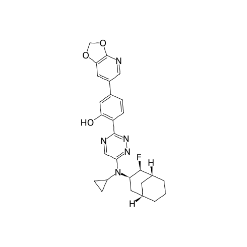 Oc1cc(-c2cnc3c(c2)OCO3)ccc1-c1ncc(N(C2CC2)[C@@H]2C[C@H]3CCC[C@H](C3)[C@@H]2F)nn1